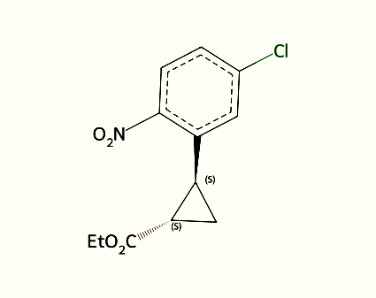 CCOC(=O)[C@H]1C[C@@H]1c1cc(Cl)ccc1[N+](=O)[O-]